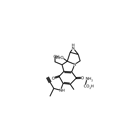 C#CC(C)NC1=C(C)C(=O)C2=C(C1=O)C(CO)C1(OC)C3NC3CN21.NC(=O)O